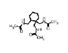 CC(=O)NCC1CCCCC1(CNC(C)=O)CNC(C)=O